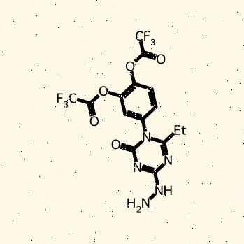 CCc1nc(NN)nc(=O)n1-c1ccc(OC(=O)C(F)(F)F)c(OC(=O)C(F)(F)F)c1